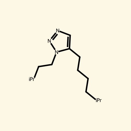 CC(C)CCCCc1cnnn1CCC(C)C